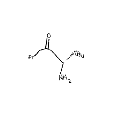 CC(C)C(=O)[C@@H](N)C(C)(C)C